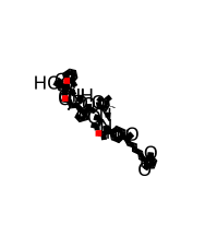 CC[C@H](C)[C@@H]([C@@H](CC(=O)N1CCC[C@H]1[C@H](OC)[C@@H](C)C(=O)N[C@@H](Cc1ccccc1)P(=O)(O)CC(=O)O)OC)N(C)C(=O)[C@@H](/N=C(\C(C)C)N1CCN(C(=O)CCCCCN2C(=O)C=CC2=O)CC1)C(C)C